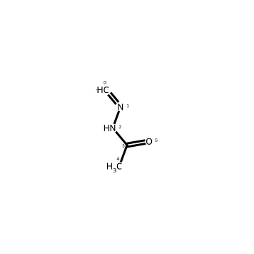 [CH]=NNC(C)=O